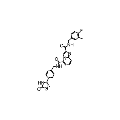 Cc1cc(CNC(=O)c2cn3c(C(=O)NCc4ccc(-c5noc(=O)[nH]5)cc4)cccc3n2)ccc1F